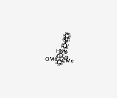 COCOCC(CC(Cc1ccccc1)C(=O)OC)NC(=O)c1ccc(-c2cc3ccccc3o2)cc1